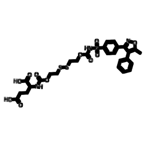 Cc1onc(-c2ccc(S(=O)(=O)NC(=O)OCCSSCCOC(=O)NC(CCC(=O)O)C(=O)O)cc2)c1-c1ccccc1